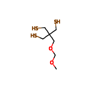 COCOCC(CS)(CS)CS